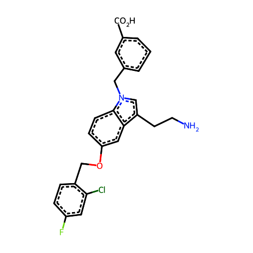 NCCc1cn(Cc2cccc(C(=O)O)c2)c2ccc(OCc3ccc(F)cc3Cl)cc12